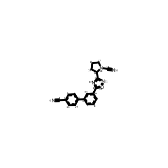 N#Cc1ccc(-c2cccc(-c3nc(C4CCCN4C#N)no3)c2)cc1